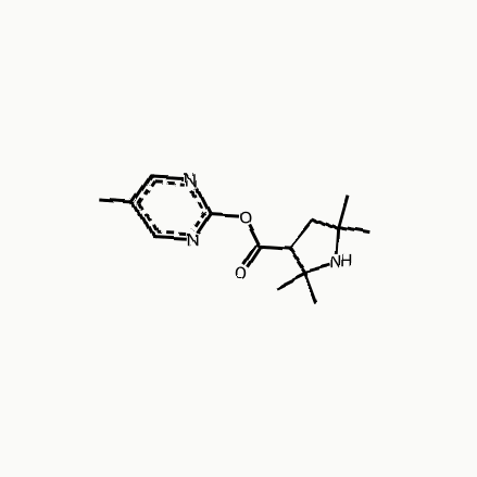 Cc1cnc(OC(=O)C2CC(C)(C)NC2(C)C)nc1